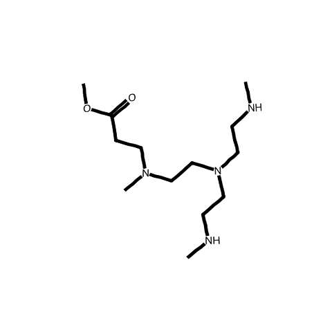 CNCCN(CCNC)CCN(C)CCC(=O)OC